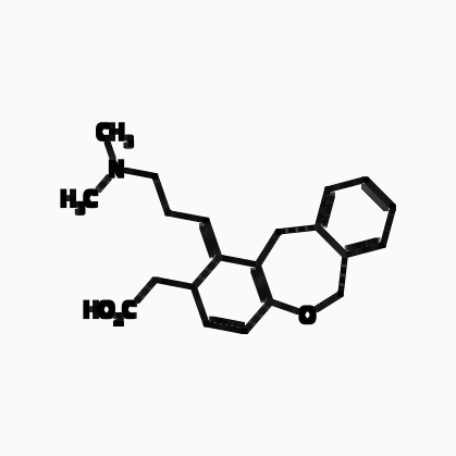 CN(C)CCC=C1C2=C(C=CC1CC(=O)O)OCc1ccccc1C2